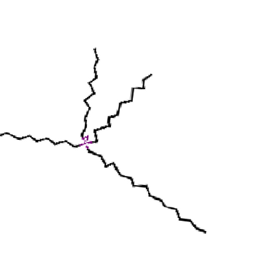 CCCCCCCCCCCCCCCC[PH](CCCCCCCCCCC)(CCCCCCCCCCC)CCCCCCCCCCC